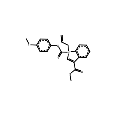 C=CC[N+]1(C(=O)Oc2ccc(OC)cc2)C=C(C(=O)OC)c2ccccc21